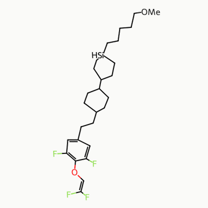 COCCCCC[SiH]1CCC(C2CCC(CCc3cc(F)c(OC=C(F)F)c(F)c3)CC2)CC1